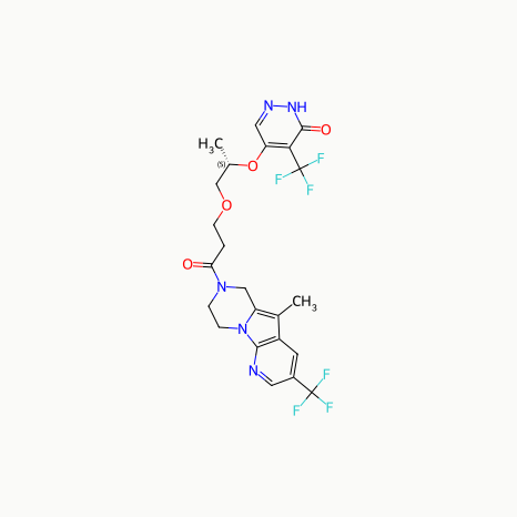 Cc1c2n(c3ncc(C(F)(F)F)cc13)CCN(C(=O)CCOC[C@H](C)Oc1cn[nH]c(=O)c1C(F)(F)F)C2